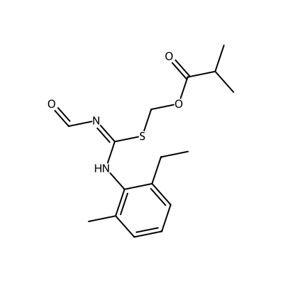 CCc1cccc(C)c1N/C(=N\C=O)SCOC(=O)C(C)C